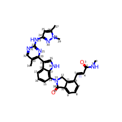 CNC(=O)/C=C/c1cccc2c1CN(c1cccc3c(-c4nc(Nc5cc(C)n(C)n5)ncc4C)c[nH]c13)C2=O